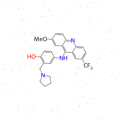 COc1ccc2nc3ccc(C(F)(F)F)cc3c(Nc3ccc(O)c(CN4CCCC4)c3)c2c1